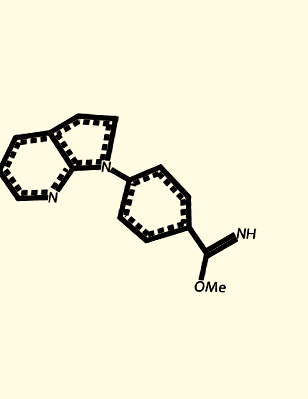 COC(=N)c1ccc(-n2ccc3cccnc32)cc1